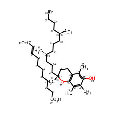 CCCCCCCCC=CCCCCCCCC(=O)O.Cc1c(C)c2c(c(C)c1O)CC[C@@](C)(CCC[C@H](C)CCC[C@H](C)CCCC(C)C)O2